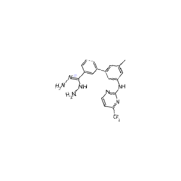 Cc1cc(Nc2nccc(C(F)(F)F)n2)cc(-c2cccc(/C(=N/N)NN)c2)c1